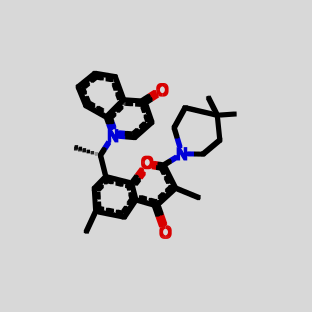 Cc1cc([C@H](C)n2ccc(=O)c3ccccc32)c2oc(N3CCC(C)(C)CC3)c(C)c(=O)c2c1